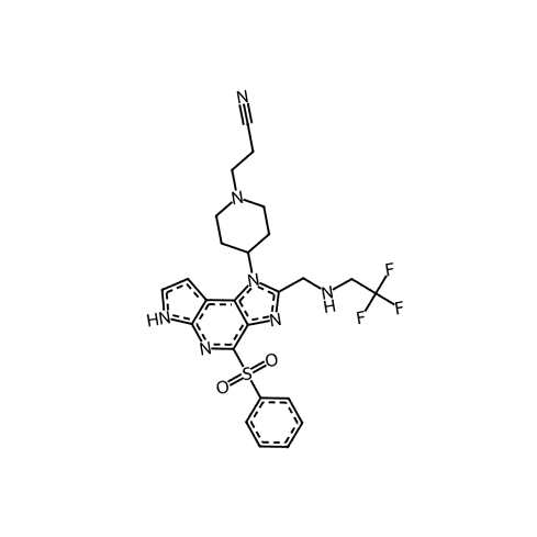 N#CCCN1CCC(n2c(CNCC(F)(F)F)nc3c(S(=O)(=O)c4ccccc4)nc4[nH]ccc4c32)CC1